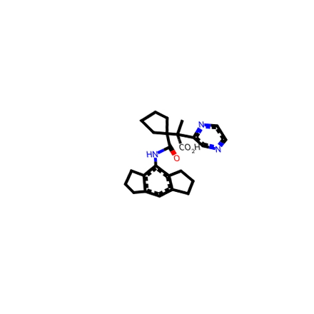 CC(C(=O)O)(c1cnccn1)C1(C(=O)Nc2c3c(cc4c2CCC4)CCC3)CCCC1